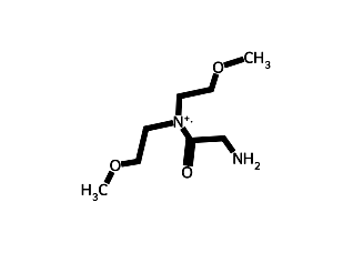 COCC[N+](CCOC)C(=O)CN